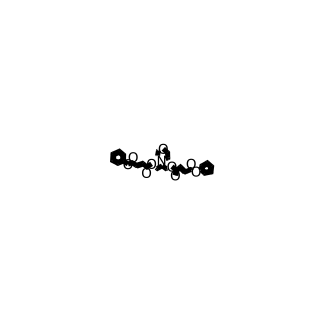 O=C(/C=C/C(=O)Oc1ccccc1)OCC(COC(=O)/C=C/C(=O)Oc1ccccc1)N1CCOCC1